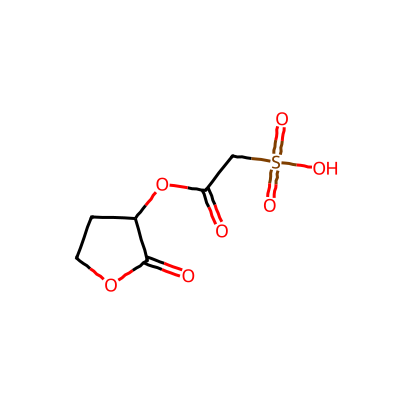 O=C(CS(=O)(=O)O)OC1CCOC1=O